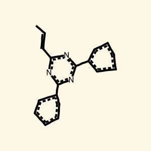 C/C=C/c1nc(-c2ccccc2)nc(-c2ccccc2)n1